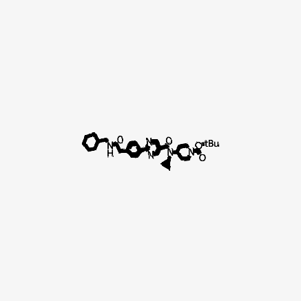 CC(C)(C)OC(=O)N1CCC(N(C(=O)c2cnc(-c3ccc(CC(=O)NCC4CCCCC4)cc3)nc2)C2CC2)CC1